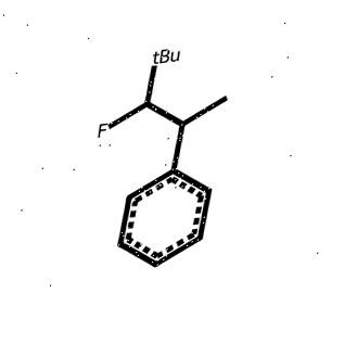 CC(c1ccccc1)C(F)C(C)(C)C